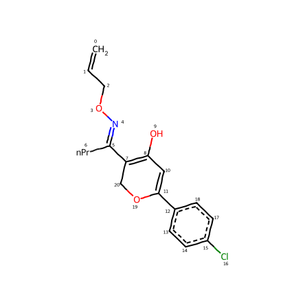 C=CCO/N=C(\CCC)C1=C(O)C=C(c2ccc(Cl)cc2)OC1